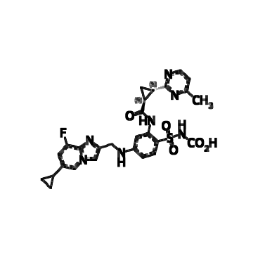 Cc1ccnc([C@H]2C[C@@H]2C(=O)Nc2cc(NCc3cn4cc(C5CC5)cc(F)c4n3)ccc2S(=O)(=O)NC(=O)O)n1